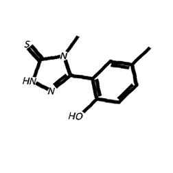 Cc1ccc(O)c(-c2n[nH]c(=S)n2C)c1